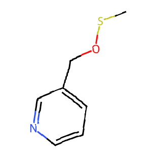 CSOCc1cccnc1